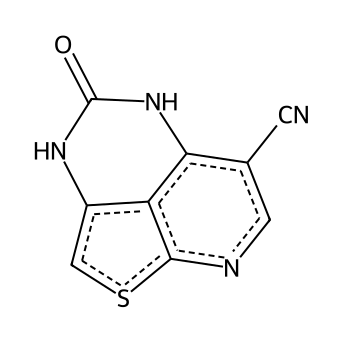 N#Cc1cnc2scc3c2c1NC(=O)N3